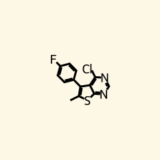 Cc1sc2ncnc(Cl)c2c1-c1ccc(F)cc1